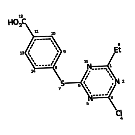 CCc1nc(Cl)nc(Sc2ccc(C(=O)O)cc2)n1